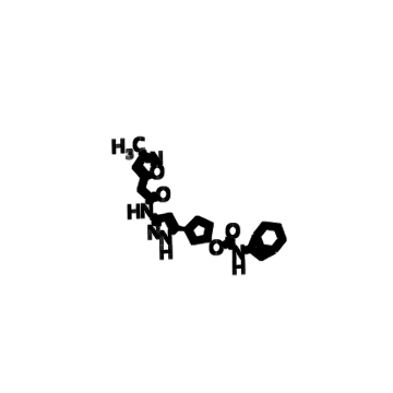 Cc1cc(CC(=O)Nc2cc([C@H]3CC[C@@H](OC(=O)NC4CC5CCCC4C5)C3)[nH]n2)on1